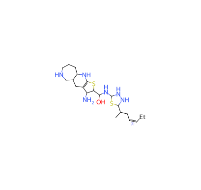 CC/C=C\CC(C)C1NNC(NC(O)C2SC3=C(CC4CNCCCC4N3)C2N)S1